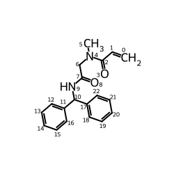 C=CC(=O)N(C)CC(=O)NC(c1ccccc1)c1ccccc1